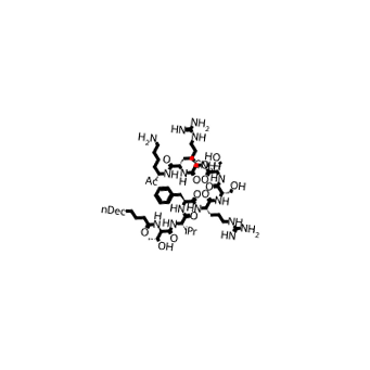 CCCCCCCCCCCCCC(=O)N[C@@H](C(=O)N[C@H](C(=O)N[C@@H](Cc1ccccc1)C(=O)N[C@@H](CCCNC(=N)N)C(=O)N[C@@H](CO)C(=O)N[C@@H](CO)C(=O)N[C@@H](CCCNC(=N)N)C(=O)N[C@@H](CCC(=O)O)C(=O)N[C@@H](CCCCN)C(C)=O)C(C)C)[C@@H](C)O